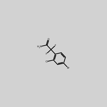 NC(=O)C(F)(F)c1ccc(Br)cc1Cl